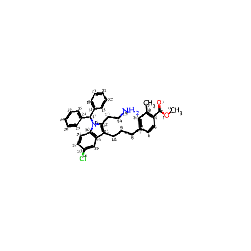 COC(=O)c1ccc(CCCc2c(CCN)n(C(c3ccccc3)c3ccccc3)c3ccc(Cl)cc23)cc1C